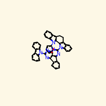 c1ccc(-n2c3c(c4ccccc42)CCc2c-3n(-c3nc4c5c(nc(-n6c7ccccc7c7ccccc76)nc5n3)-c3ccccc3-4)c3ccccc23)cc1